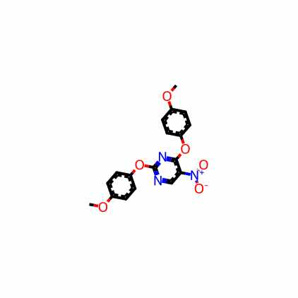 COc1ccc(Oc2ncc([N+](=O)[O-])c(Oc3ccc(OC)cc3)n2)cc1